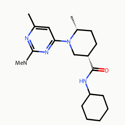 CNc1nc(C)cc(N2C[C@@H](C(=O)NC3CCCCC3)CC[C@H]2C)n1